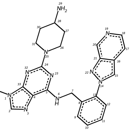 CC(C)n1cnc2c(NCc3ccccc3-n3cc4ccncc4n3)nc(N3CCC(N)CC3)nc21